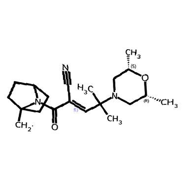 [CH2]C12CCC(CC1)N2C(=O)/C(C#N)=C/C(C)(C)N1C[C@@H](C)O[C@@H](C)C1